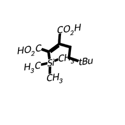 CC(C)(C)CCC(C(=O)O)=C(C(=O)O)[Si](C)(C)C